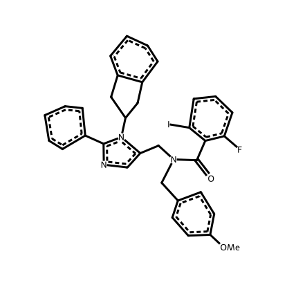 COc1ccc(CN(Cc2cnc(-c3ccccc3)n2C2Cc3ccccc3C2)C(=O)c2c(F)cccc2I)cc1